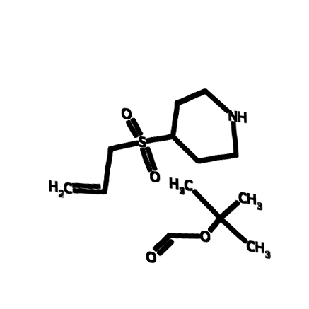 C=CCS(=O)(=O)C1CCNCC1.CC(C)(C)OC=O